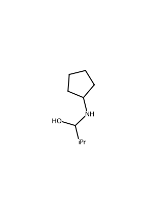 CC(C)C(O)NC1CCCC1